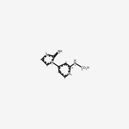 N=c1sccn1-c1ccnc(NC(=O)O)c1